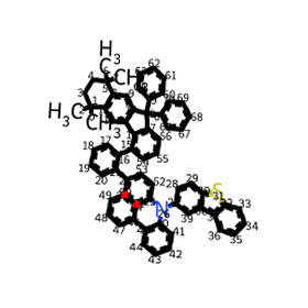 CC1(C)CCC(C)(C)c2cc3c(cc21)-c1c(-c2ccccc2-c2ccc(N(c4ccc5sc6ccccc6c5c4)c4ccccc4-c4ccccc4)cc2)cccc1C3(c1ccccc1)c1ccccc1